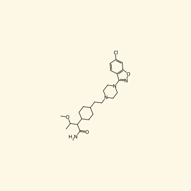 COC(C)C(C(N)=O)C1CCC(CCN2CCN(c3noc4cc(Cl)ccc34)CC2)CC1